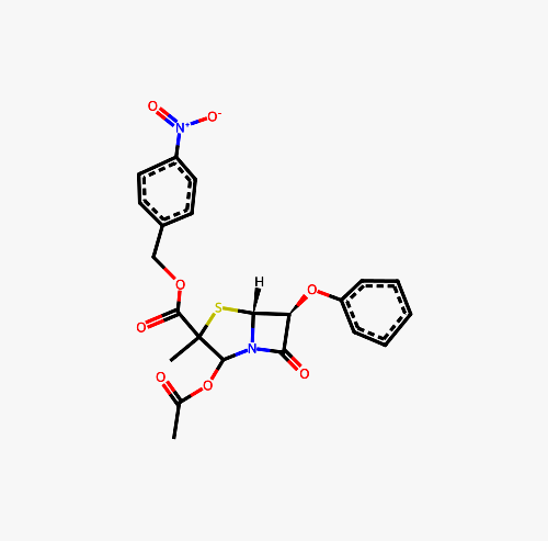 CC(=O)OC1N2C(=O)[C@H](Oc3ccccc3)[C@H]2SC1(C)C(=O)OCc1ccc([N+](=O)[O-])cc1